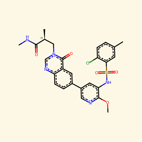 CNC(=O)[C@@H](C)Cn1cnc2ccc(-c3cnc(OC)c(NS(=O)(=O)c4cc(C)ccc4Cl)c3)cc2c1=O